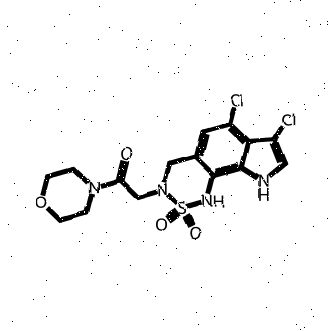 O=C(CN1Cc2cc(Cl)c3c(Cl)c[nH]c3c2NS1(=O)=O)N1CCOCC1